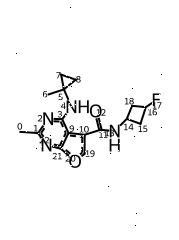 Cc1nc(NC2(C)CC2)c2c(C(=O)NC3CC(F)C3)coc2n1